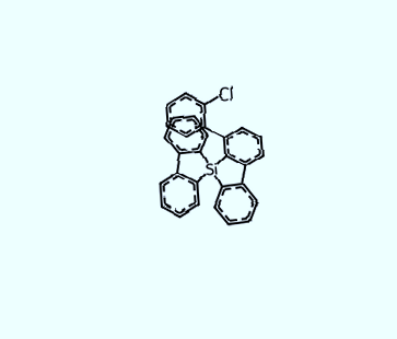 Clc1ccccc1-c1cccc2c1[Si]1(c3ccccc3-c3ccccc31)c1ccccc1-2